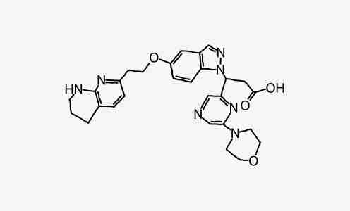 O=C(O)CC(c1cncc(N2CCOCC2)n1)n1ncc2cc(OCCc3ccc4c(n3)NCCC4)ccc21